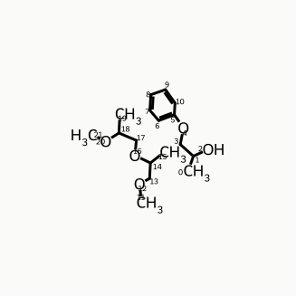 CC(O)COc1ccccc1.COCC(C)OCC(C)OC